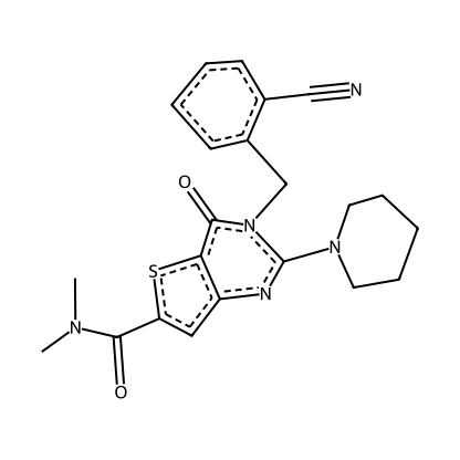 CN(C)C(=O)c1cc2nc(N3CCCCC3)n(Cc3ccccc3C#N)c(=O)c2s1